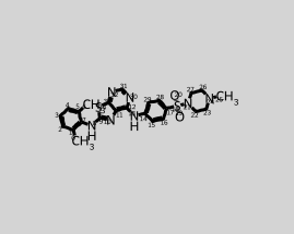 Cc1cccc(C)c1Nc1nc2c(Nc3ccc(S(=O)(=O)N4CCN(C)CC4)cc3)ncnc2s1